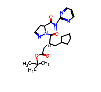 CC(C)(C)OC(=O)C[C@@H](CC1CCCC1)C(=O)N1N=CCC1C(=O)Nc1ncccn1